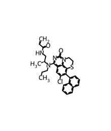 C=CC(=O)NC[C@H](C)N(CCC)c1nc(=O)n2c3c(c(-c4cccc5ccccc45)c(Cl)cc13)SCC2